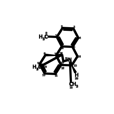 Cc1cccc2c1[C@@]13CC=CC=C1[C@@H](C2)N(C)CC3C